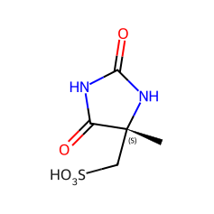 C[C@]1(CS(=O)(=O)O)NC(=O)NC1=O